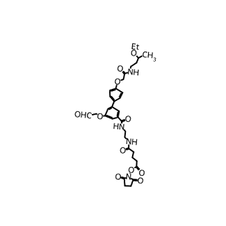 CCOC(C)CCNC(=O)COc1ccc(-c2cc(OCC=O)cc(C(=O)NCCNC(=O)CCCC(=O)ON3C(=O)CCC3=O)c2)cc1